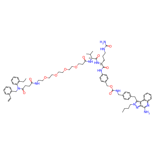 C=Cc1ccccc1CN(C(=O)CCC(=O)NCCOCCOCCOCCOCCC(=O)N[C@H](C(=O)N[C@@H](CCCNC(N)=O)C(=O)Nc1ccc(COC(=O)NCc2ccc(Cc3c4c(nn3CCCC)c(N)nc3ccccc34)cc2)cc1)C(C)C)c1ccccc1CC